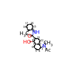 CC(=O)N(C)c1cccc2c(O)c(C(=O)Nc3ccccc3C)ccc12